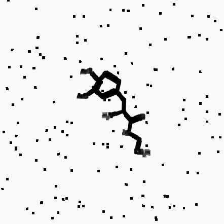 CC(=O)Oc1ccc(C[C@H](N)C(=O)NCC(=O)O)cc1OC(C)=O